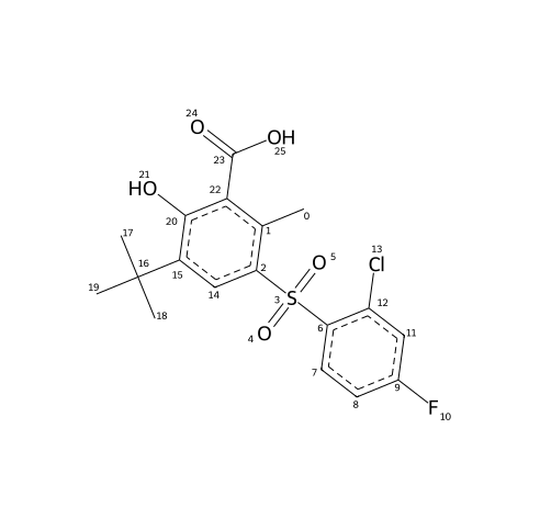 Cc1c(S(=O)(=O)c2ccc(F)cc2Cl)cc(C(C)(C)C)c(O)c1C(=O)O